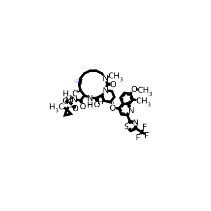 COc1ccc2c(O[C@H]3CCN4C(=O)N(C)CCCC/C=C\[C@H](C)C(C(=O)NS(=O)(=O)C5(C)CC5)NC(=O)[C@@H]4C3)cc(-c3nc(C(F)(F)F)cs3)nc2c1C